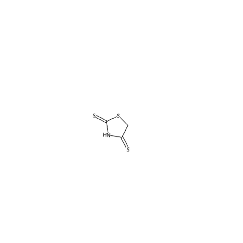 S=C1CSC(=S)N1